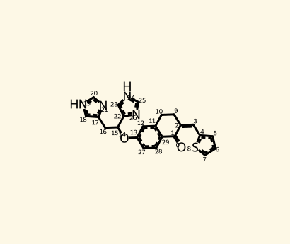 O=C1C(=Cc2cccs2)CCc2cc(OC(Cc3c[nH]cn3)c3c[nH]cn3)ccc21